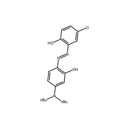 CCCCN(CCCC)c1ccc(N=Nc2cc(Cl)ccc2O)c(O)c1